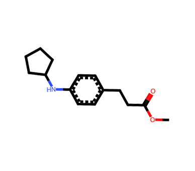 COC(=O)CCc1ccc(NC2CCCC2)cc1